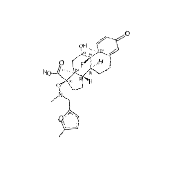 Cc1ccc(CN(C)O[C@]2(C(=O)O)CC[C@H]3[C@@H]4CCC5=CC(=O)C=C[C@]5(C)[C@@]4(F)[C@@H](O)C[C@@]32C)o1